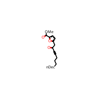 CCCCCCCCCCCCCC#CC(=O)Cc1ccc(C(=O)OC)o1